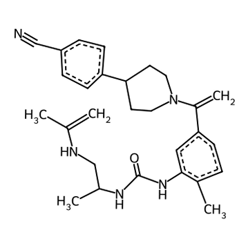 C=C(C)NCC(C)NC(=O)Nc1cc(C(=C)N2CCC(c3ccc(C#N)cc3)CC2)ccc1C